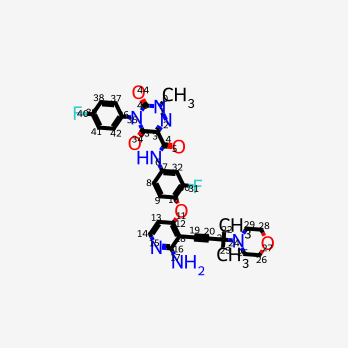 Cn1nc(C(=O)Nc2ccc(Oc3ccnc(N)c3C#CC(C)(C)N3CCOCC3)c(F)c2)c(=O)n(-c2ccc(F)cc2)c1=O